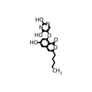 CCCCCc1cc2cc(O)cc(Oc3cnc(O)nc3O)c2c(=O)o1